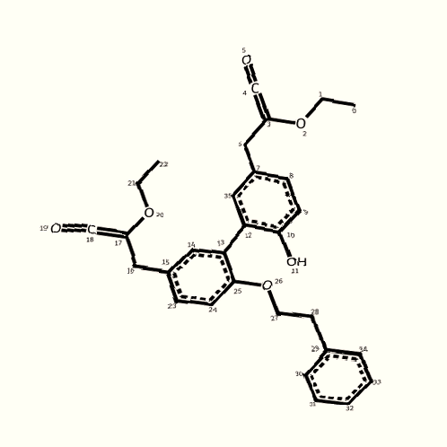 CCOC(=C=O)Cc1ccc(O)c(-c2cc(CC(=C=O)OCC)ccc2OCCc2ccccc2)c1